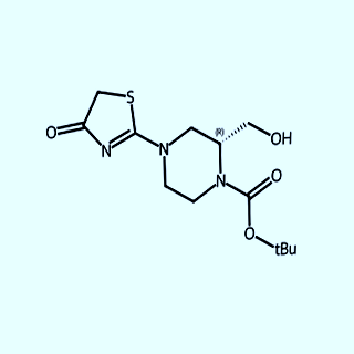 CC(C)(C)OC(=O)N1CCN(C2=NC(=O)CS2)C[C@@H]1CO